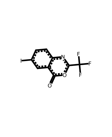 O=c1oc(C(F)(F)F)nc2ccc(I)cc12